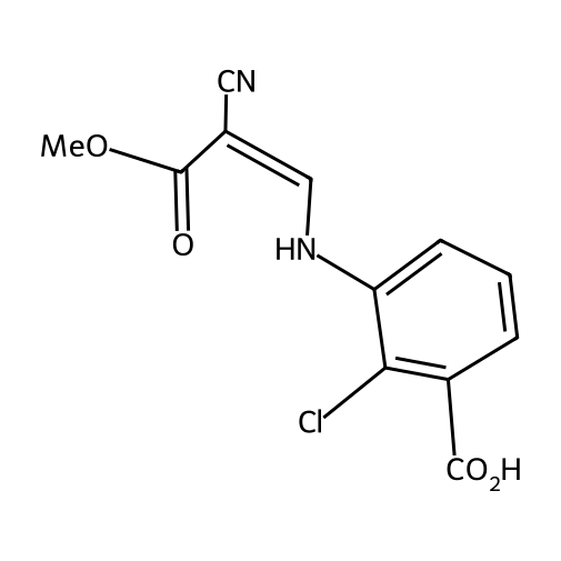 COC(=O)C(C#N)=CNc1cccc(C(=O)O)c1Cl